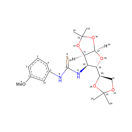 COc1cccc(NC(=S)N[C@H]2[C@H]3OC(C)(C)O[C@H]3O[C@@H]2[C@H]2COC(C)(C)O2)c1